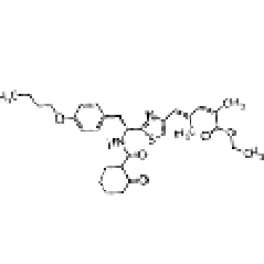 CCCCOc1ccc(C[C@H](NC(=O)C2CCCCC2=O)c2nc(/C=C(C)/C=C(/C)C(=O)OCC)cs2)cc1